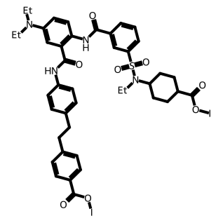 CCN(CC)c1ccc(NC(=O)c2cccc(S(=O)(=O)N(CC)C3CCC(C(=O)OI)CC3)c2)c(C(=O)Nc2ccc(CCc3ccc(C(=O)OI)cc3)cc2)c1